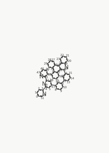 c1ccc(-c2cc(-c3cccc(-c4cccc(-c5nc6ccccc6c6c7ccccc7c7ccccc7c56)c4)c3)cc(-c3ccccn3)n2)nc1